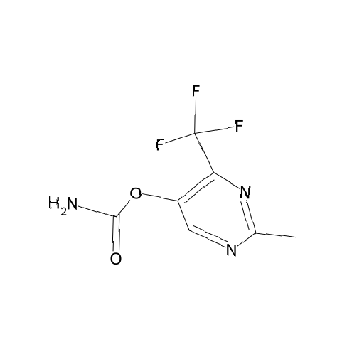 Cc1ncc(OC(N)=O)c(C(F)(F)F)n1